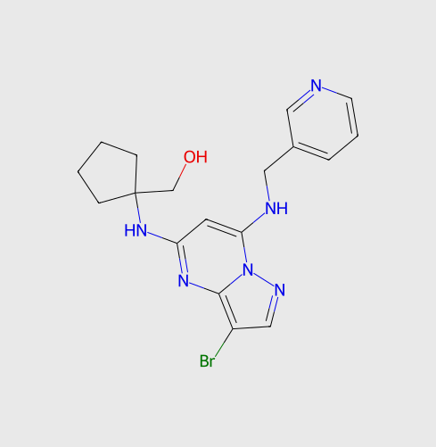 OCC1(Nc2cc(NCc3cccnc3)n3ncc(Br)c3n2)CCCC1